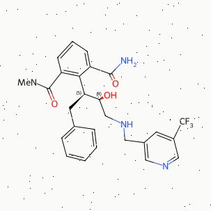 CNC(=O)c1cccc(C(N)=O)c1[C@H](Cc1ccccc1)[C@@H](O)CNCc1cncc(C(F)(F)F)c1